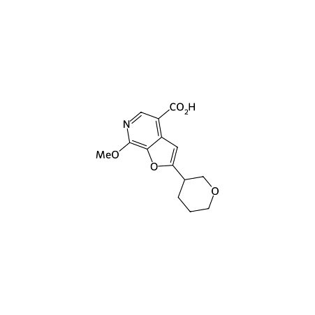 COc1ncc(C(=O)O)c2cc(C3CCCOC3)oc12